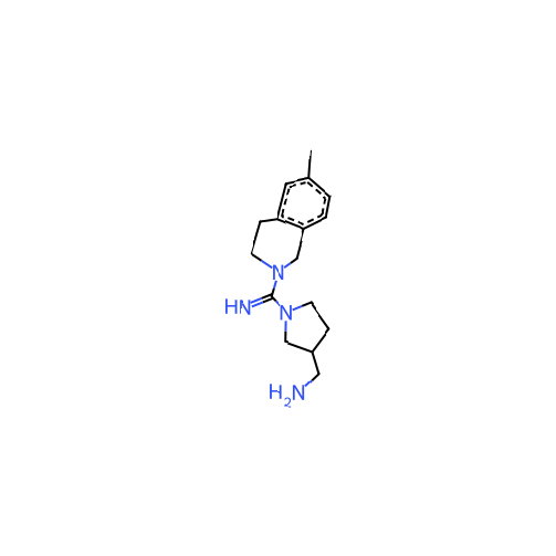 Cc1ccc2c(c1)CCN(C(=N)N1CCC(CN)C1)C2